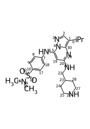 CC(C)c1cnn2c(Nc3ccc(S(=O)(=O)N(C)C)cc3)cc(NCC3CCNCC3)nc12